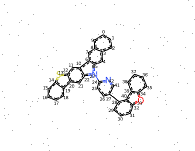 c1ccc2cc3c(cc2c1)c1cc2sc4ccccc4c2cc1n3-c1ccc(-c2cccc3oc4ccccc4c23)cn1